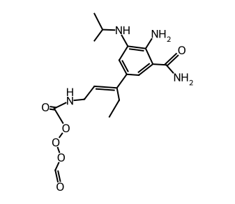 CC/C(=C\CNC(=O)OOOC=O)c1cc(NC(C)C)c(N)c(C(N)=O)c1